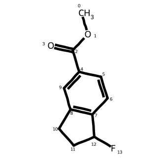 COC(=O)c1ccc2c(c1)CCC2F